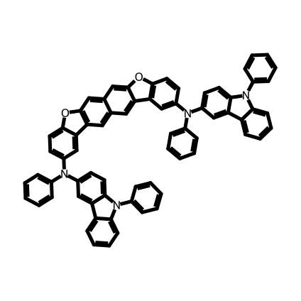 c1ccc(N(c2ccc3oc4cc5cc6oc7ccc(N(c8ccccc8)c8ccc9c(c8)c8ccccc8n9-c8ccccc8)cc7c6cc5cc4c3c2)c2ccc3c(c2)c2ccccc2n3-c2ccccc2)cc1